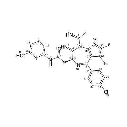 CC(=N)N1C(=N)[C@H](CC(=O)Nc2cccc(O)c2)N=C(c2ccc(Cl)cc2)c2c1sc(C)c2C